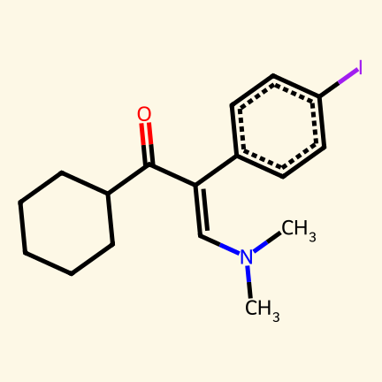 CN(C)C=C(C(=O)C1CCCCC1)c1ccc(I)cc1